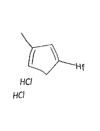 CC1=CC[C]([Hf])=C1.Cl.Cl